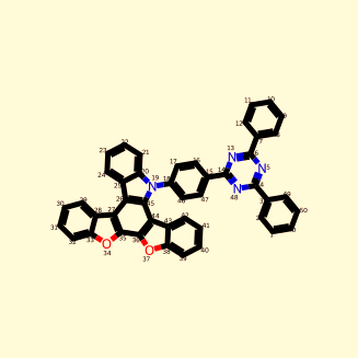 c1ccc(-c2nc(-c3ccccc3)nc(-c3ccc(-n4c5ccccc5c5c6c7ccccc7oc6c6oc7ccccc7c6c54)cc3)n2)cc1